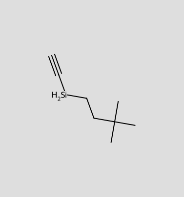 C#C[SiH2]CCC(C)(C)C